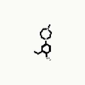 CCc1cc(N2CCCN(C)CC2)ccc1N